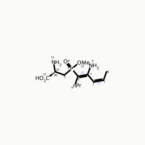 C/C=C\C(N)=C(/CCC)P(=O)(C[C@H](N)C(=O)O)OC